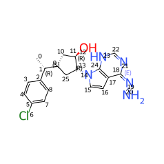 C[C@@H](c1ccc(Cl)cc1)[C@@H]1C[C@@H](O)[C@H](n2ccc3/c(=N\N)nc[nH]c32)C1